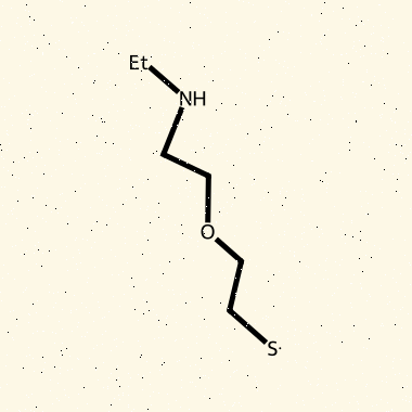 CCNCCOCC[S]